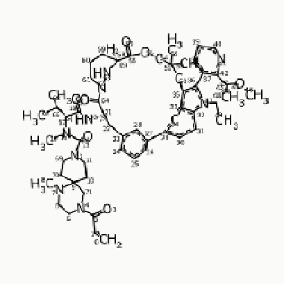 C=CC(=O)N1CCN(C)C2(CCN(C(=O)N(C)[C@H](C(=O)N[C@H]3Cc4cccc(c4)-c4ccc5c(c4)c(c(-c4cccnc4[C@H](C)OC)n5CC)CC(C)(C)COC(=O)[C@@H]4CCCN(N4)C3=O)C(C)C)CC2)C1